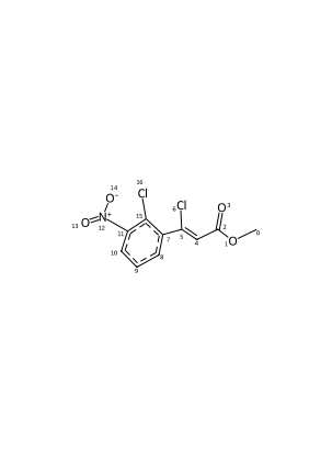 COC(=O)C=C(Cl)c1cccc([N+](=O)[O-])c1Cl